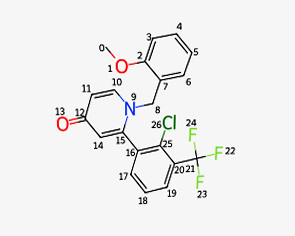 COc1ccccc1Cn1ccc(=O)cc1-c1cccc(C(F)(F)F)c1Cl